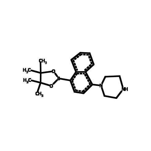 CC1(C)OB(c2ccc(N3CCNCC3)c3ccccc23)OC1(C)C